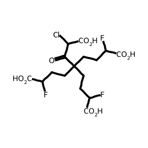 O=C(O)C(F)CCC(CCC(F)C(=O)O)(CCC(F)C(=O)O)C(=O)C(Cl)C(=O)O